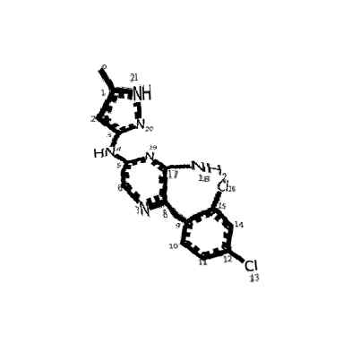 Cc1cc(Nc2cnc(-c3ccc(Cl)cc3Cl)c(N)n2)n[nH]1